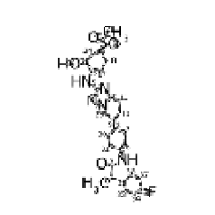 CC(C(=O)Nc1ccc(-c2ccc3nc(Nc4ccc(S(C)(=O)=O)cc4O)nn3c2)cc1)c1ccc(F)cc1